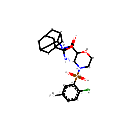 NC(=O)C12CC3CC(C1)C(NC(=O)C1CN(S(=O)(=O)c4cc(C(F)(F)F)ccc4Br)CCO1)C(C3)C2